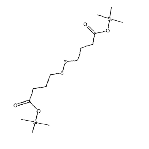 C[Si](C)(C)OC(=O)CCCSSCCCC(=O)O[Si](C)(C)C